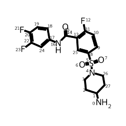 NC1CCN(S(=O)(=O)c2ccc(F)c(C(=O)Nc3ccc(F)c(F)c3)c2)CC1